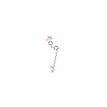 CC(C)(C)OC(=O)CCCCCCCCCc1cc(Oc2ccc(S(N)(=O)=O)cc2)ccc1F